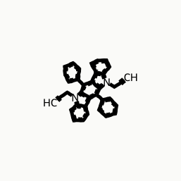 C#CCn1c2ccccc2c2c(-c3ccccc3)c3c(c(-c4ccccc4)c21)c1ccccc1n3CC#C